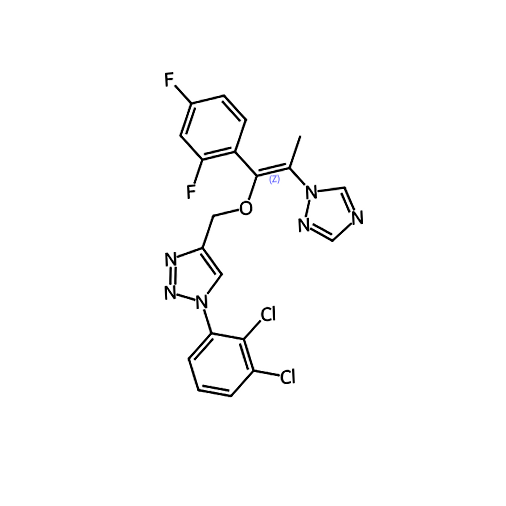 C/C(=C(/OCc1cn(-c2cccc(Cl)c2Cl)nn1)c1ccc(F)cc1F)n1cncn1